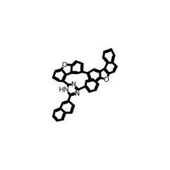 c1ccc(C2=NC(c3cccc4oc5ccc(-c6ccc7oc8ccc9ccccc9c8c7c6)cc5c34)NC(c3ccc4ccccc4c3)=N2)cc1